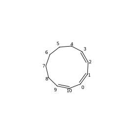 C1=CC=CCCCCCC=C1